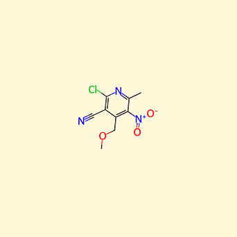 COCc1c(C#N)c(Cl)nc(C)c1[N+](=O)[O-]